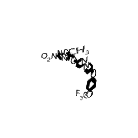 C[C@]1(COc2ccc(N3CCC(Oc4ccc(OC(F)(F)F)cc4)CC3)nc2)Cn2cc([N+](=O)[O-])nc2O1